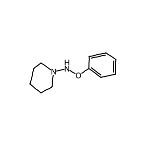 c1ccc(ONN2CCCCC2)cc1